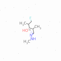 CN/N=C/C(C)[C@H](O)C(C)CF